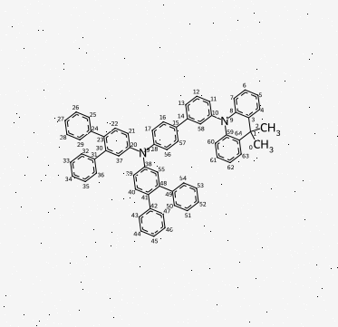 CC1(C)c2ccccc2N(c2cccc(-c3ccc(N(c4ccc(-c5ccccc5)c(-c5ccccc5)c4)c4ccc(-c5ccccc5)c(-c5ccccc5)c4)cc3)c2)c2ccccc21